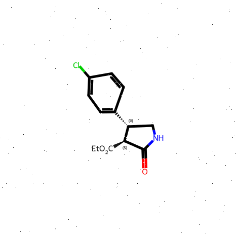 CCOC(=O)[C@@H]1C(=O)NC[C@H]1c1ccc(Cl)cc1